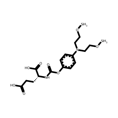 O=C(O)CC[C@@H](NC(=O)Oc1ccc(N(CCO[SiH3])CCO[SiH3])cc1)C(=O)O